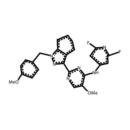 COc1ccc(Cn2nc(-c3ncc(OC)c(Nc4cc(F)nc(F)c4)n3)c3ccccc32)cc1